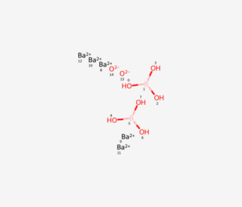 OB(O)O.OB(O)O.[Ba+2].[Ba+2].[Ba+2].[Ba+2].[Ba+2].[O-2].[O-2]